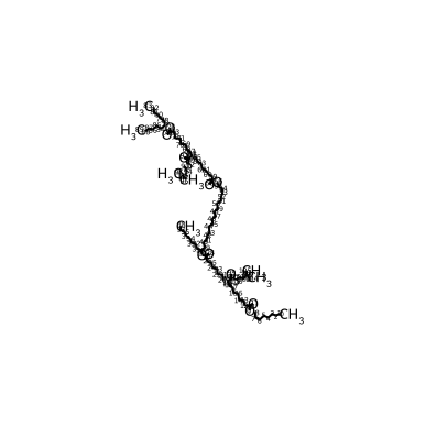 CCCCCC/C=C\COC(=O)CCCCCCCN(CCCCCCCC(=O)OC(CCCCCCCC)CCCCCCCCCCCCCC/C=C\COC(=O)CCCCCCCN(CCCCCCCC(=O)OC(CCCCCC)CCCCCC)C(=O)SCCN(C)C)C(=O)SCCN(C)C